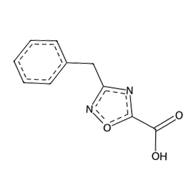 O=C(O)c1nc(Cc2ccccc2)no1